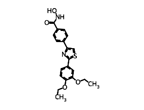 CCOc1ccc(-c2nc(-c3ccc(C(=O)NO)cc3)cs2)cc1OCC